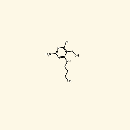 CCCCNc1nc(N)nc(Cl)c1CO